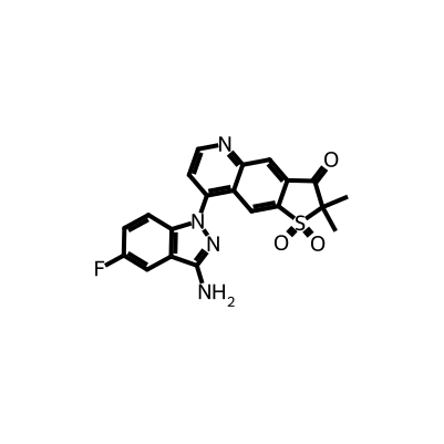 CC1(C)C(=O)c2cc3nccc(-n4nc(N)c5cc(F)ccc54)c3cc2S1(=O)=O